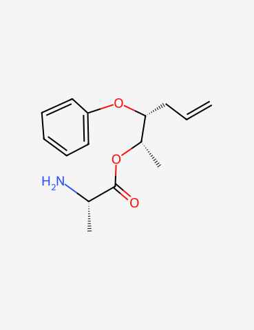 C=CC[C@@H](Oc1ccccc1)[C@H](C)OC(=O)[C@H](C)N